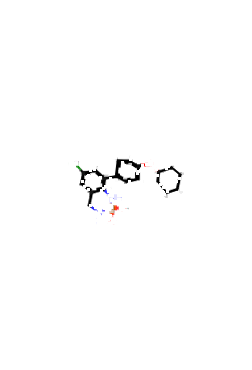 O=S1(=O)NCc2cc(Cl)cc(-c3ccc(OC4CCCCC4)cc3)c2N1